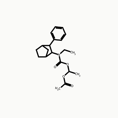 CCN(C(=O)OC(C)OC(C)=O)C1C2CCC(C2)C1c1ccccc1